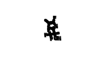 Cc1sc(C(C)(O)C(F)(F)F)nc1F